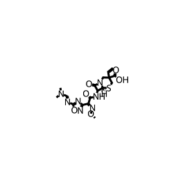 C=CC1(C(=O)O)CS[C@@H]2C(NC(=O)C(=NOC)c3noc(N=CN(C)C)n3)C(=O)N2C1